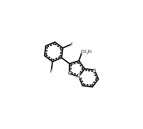 CCOC(=O)c1c(-c2c(F)cccc2F)nn2cccnc12